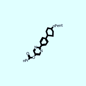 CCCCCC1CCC(c2ccc(-c3ncc(OC(=O)CCC)cn3)cc2)CC1